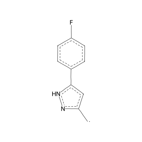 [CH2]c1cc(-c2ccc(F)cc2)[nH]n1